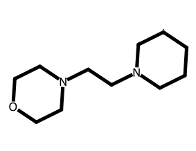 [CH]1CCCN(CCN2CCOCC2)C1